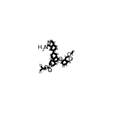 CCOC(=O)Cc1c(C)cccc1OC1CC2(CCN(C(=O)OCC(C)C)CC2)c2ccc(-c3ccc4ccnc(N)c4c3)cc21